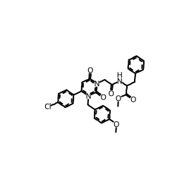 COC(=O)C(Cc1ccccc1)NC(=O)Cn1c(=O)cc(-c2ccc(Cl)cc2)n(Cc2ccc(OC)cc2)c1=O